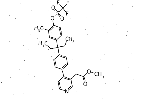 CCC(CC)(c1ccc(-c2ccncc2CC(=O)OC)cc1)c1ccc(OS(=O)(=O)C(F)(F)F)c(C)c1